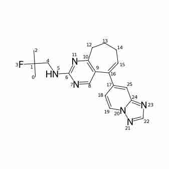 CC(C)(F)CNc1ncc2c(n1)CCCC=C2c1ccn2ncnc2c1